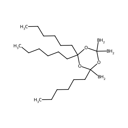 BC1(B)OC(B)(CCCCCC)OC(CCCCCC)(CCCCCC)O1